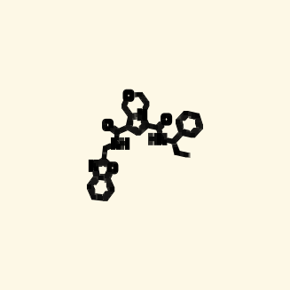 CC[C@@H](NC(=O)c1cc(C(=O)NCc2nc3ccccc3o2)c2n1CCOC2)c1ccccc1